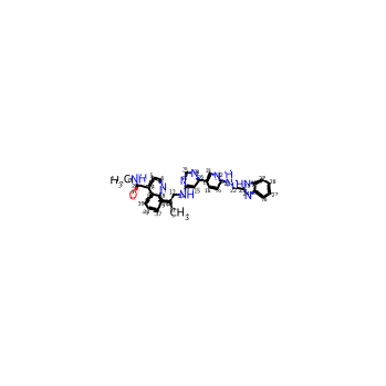 CNC(=O)c1ccnc2c([C@H](C)CNc3cc(-c4ccc(NCc5nc6ccccc6[nH]5)nc4)ncn3)cccc12